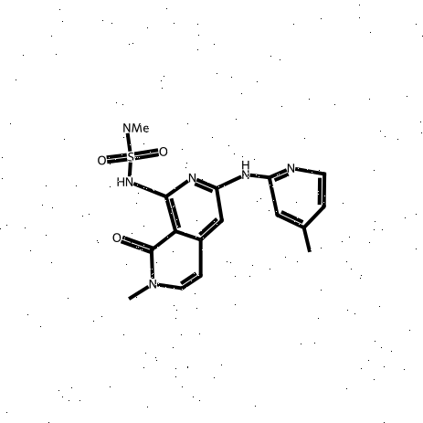 CNS(=O)(=O)Nc1nc(Nc2cc(C)ccn2)cc2ccn(C)c(=O)c12